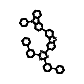 c1ccc(-c2cccc(-c3nc(-c4cccc(-c5ccccc5)c4)nc(-c4ccc5sc6ccc(-c7ccc8c(c7)c7ccccc7n8-c7ccccc7)cc6c5c4)n3)c2)cc1